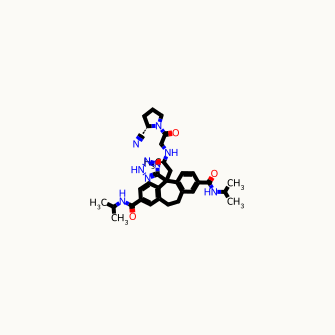 CC(C)NC(=O)c1ccc2c(c1)CCc1cc(C(=O)NC(C)C)ccc1C2(C[C@H](C)NCC(=O)N1CCC[C@H]1C#N)c1nn[nH]n1